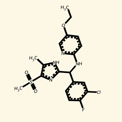 CCOc1ccc(NC(c2ccc(F)c(Cl)c2)c2nc(S(C)(=O)=O)c(C)[nH]2)nc1